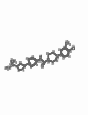 CN(C)C1CCN(c2ccc(NC(=O)N3CCN(c4ccc(Cl)c(C(F)(F)F)c4)CC3)cc2)C1